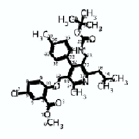 COC(=O)c1cc(Cl)ccc1OCc1c(C)nc(CC(C)C)c(CNC(=O)OC(C)(C)C)c1-c1ccc(C)cc1